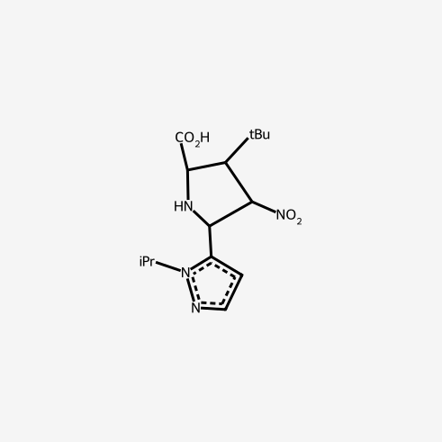 CC(C)n1nccc1C1NC(C(=O)O)C(C(C)(C)C)C1[N+](=O)[O-]